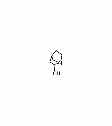 OC1CC2CCN1C2